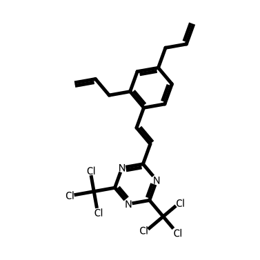 C=CCc1ccc(C=Cc2nc(C(Cl)(Cl)Cl)nc(C(Cl)(Cl)Cl)n2)c(CC=C)c1